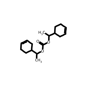 CC(OC(=O)OC(C)C1CC=CCC1)C1CC=CCC1